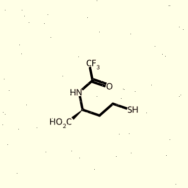 O=C(O)[C@H](CCS)NC(=O)C(F)(F)F